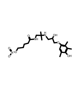 Cc1cc(OCC(O)CNC(C)(C)CNC(=O)CCCCO[N+](=O)[O-])c(C)c(C)c1O